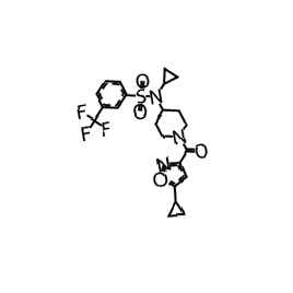 O=C(c1cc(C2CC2)on1)N1CCC(N(C2CC2)S(=O)(=O)c2cccc(C(F)(F)F)c2)CC1